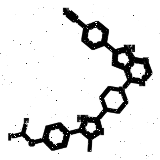 Cc1nc(C2CCN(c3ncnc4[nH]c(-c5ccc(C#N)cc5)cc34)CC2)[nH]c1-c1ccc(OC(F)F)cc1